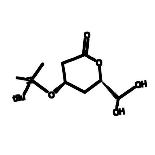 CC(C)(C)[Si](C)(C)O[C@H]1CC(=O)O[C@H](C(O)O)C1